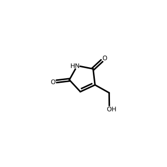 O=C1C=C(CO)C(=O)N1